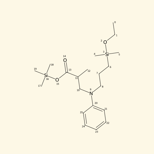 CCO[Si](C)(C)CCCN(CC(C)C(=O)O[Si](C)(C)C)c1ccccc1